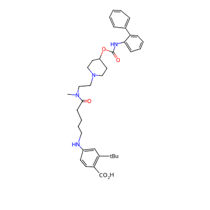 CN(CCN1CCC(OC(=O)Nc2ccccc2-c2ccccc2)CC1)C(=O)CCCCNc1ccc(C(=O)O)c(C(C)(C)C)c1